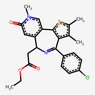 CCOC(=O)CC1N=C(c2ccc(Cl)cc2)c2c(sc(C)c2C)-c2cn(C)c(=O)cc21